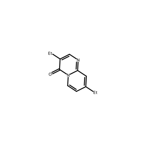 CCc1ccn2c(=O)c(CC)cnc2c1